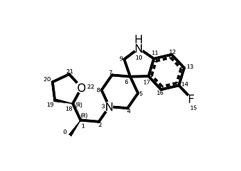 C[C@H](CN1CCC2(CC1)CNc1ccc(F)cc12)[C@H]1CCCO1